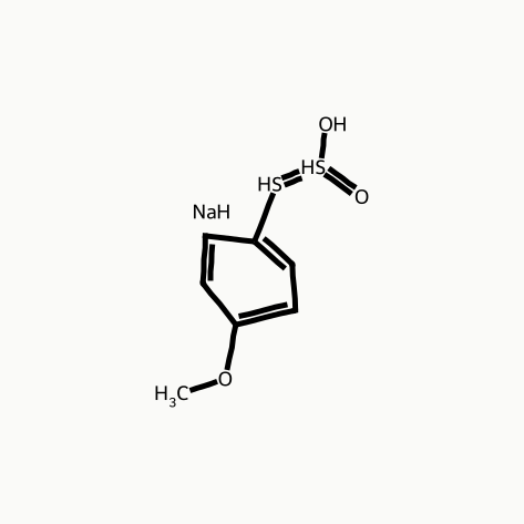 COc1ccc([SH]=[SH](=O)O)cc1.[NaH]